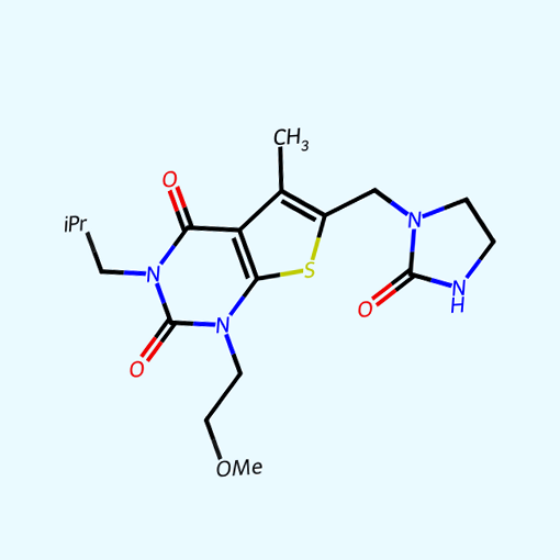 COCCn1c(=O)n(CC(C)C)c(=O)c2c(C)c(CN3CCNC3=O)sc21